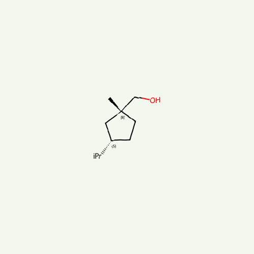 CC(C)[C@H]1CC[C@@](C)(CO)C1